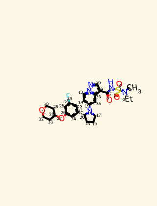 CCN(C)S(=O)(=O)NC(=O)c1cnn2ccc(N3CCC[C@@H]3c3cc(F)cc(OC4CCOCC4)c3)cc12